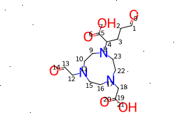 O=CCCC(C(=O)O)N1CCN(CC=O)CCN(CC(=O)O)CC1